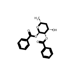 C[C@@H]1C[C@H](O)[C@H](OC(=O)c2ccccc2)[C@@H](OC(=O)c2ccccc2)O1